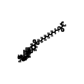 CCC(C)C(=O)OCCCCCCCCCCCCOC(=O)c1ccc(OS(=O)(=O)C(F)(F)C(F)(F)C(F)(F)S(=O)(=O)NS(C)(=O)=O)cc1